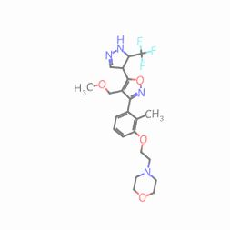 COCc1c(-c2cccc(OCCN3CCOCC3)c2C)noc1C1C=NNC1C(F)(F)F